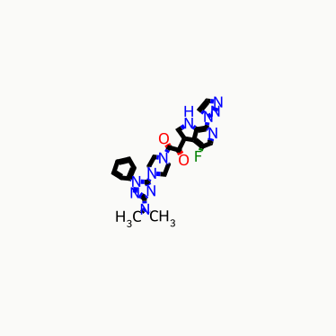 CN(C)c1nc(N2CCN(C(=O)C(=O)C3CNc4c(-n5ccnn5)ncc(F)c43)CC2)n(-c2ccccc2)n1